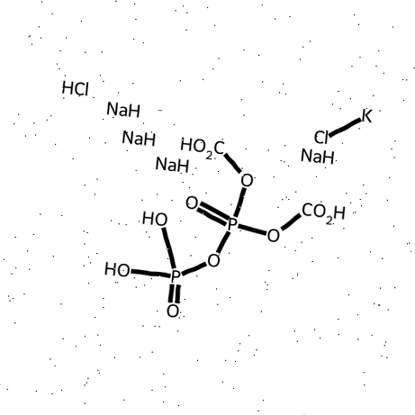 Cl.O=C(O)OP(=O)(OC(=O)O)OP(=O)(O)O.[Cl][K].[NaH].[NaH].[NaH].[NaH]